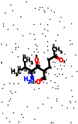 CC(=O)CCC([C]=O)C(=O)[C@@H](N)C(C)C